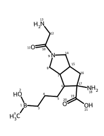 CB(O)CCCC1C2CN(C(=O)CN)CC2CC1(N)C(=O)O